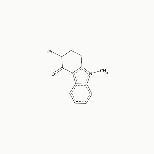 CC(C)C1CCc2c(c3ccccc3n2C)C1=O